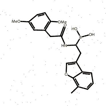 COc1ccc(OC)c(CC(=O)NC(Cc2coc3c(C)cccc23)B(O)O)c1